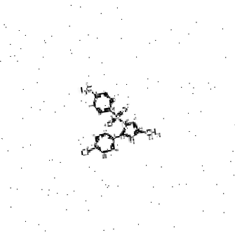 Cc1ccc(S(=O)(=O)n2cc(C)nc2-c2ccc(Cl)cc2)cc1